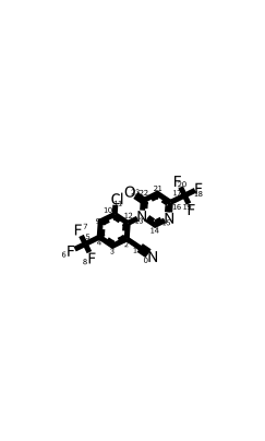 N#Cc1cc(C(F)(F)F)cc(Cl)c1-n1cnc(C(F)(F)F)cc1=O